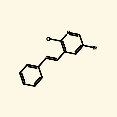 Clc1ncc(Br)cc1C=Cc1ccccc1